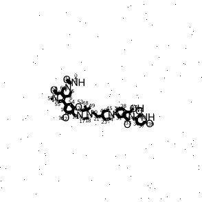 CNC(=O)N1CCc2c(-c3cc(OC)c(CN4CCN(CCC5CCN(c6ccc7c(c6)C(=O)N(C6CCC(=O)NC6=O)C7O)CC5)C(C)(C)C4)c(OC)c3)cn(C)c(=O)c2C1